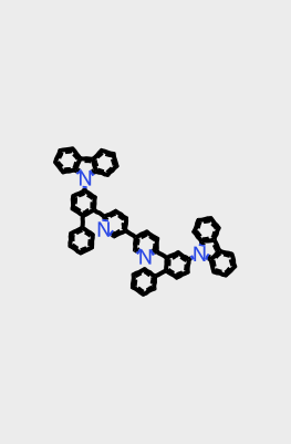 c1ccc(-c2ccc(-n3c4ccccc4c4ccccc43)cc2-c2ccc(-c3ccc(-c4cc(-n5c6ccccc6c6ccccc65)ccc4-c4ccccc4)nc3)cn2)cc1